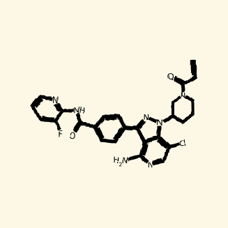 C=CC(=O)N1CCCC(n2nc(-c3ccc(C(=O)Nc4ncccc4F)cc3)c3c(N)ncc(Cl)c32)C1